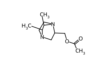 CC(=O)OCC1CN2CCN1C(C)C2C